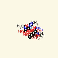 CC1COc2c(N3CCN(C)CC3)c(F)cc3c(=O)c(C(=O)O)cn1c23.CN(C)[C@@H]1C(O)=C(C(N)=O)C(=O)[C@@]2(O)C(O)=C3C(=O)c4c(O)cccc4[C@@](C)(O)[C@H]3[C@H](O)[C@@H]12